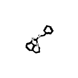 c1ccc(CSc2nc3cccc4c3n2CCC4)cc1